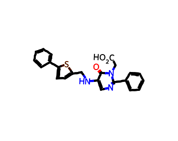 O=C(O)Cn1c(-c2ccccc2)ncc(NCc2ccc(-c3ccccc3)s2)c1=O